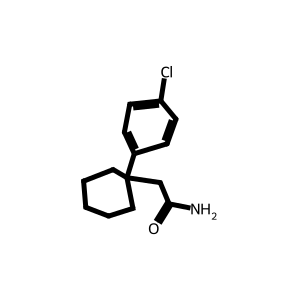 NC(=O)CC1(c2ccc(Cl)cc2)CCCCC1